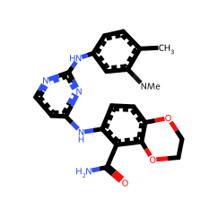 CNc1cc(Nc2nccc(Nc3ccc4c(c3C(N)=O)OCCO4)n2)ccc1C